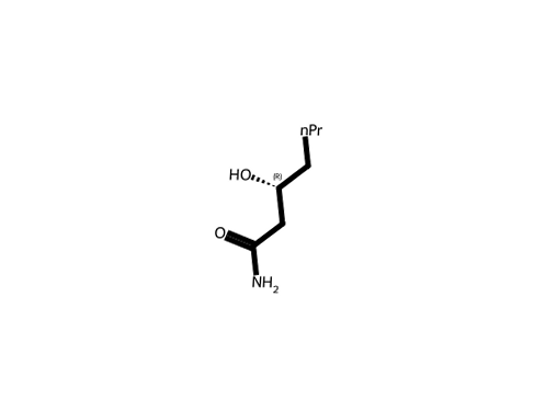 CCCC[C@@H](O)CC(N)=O